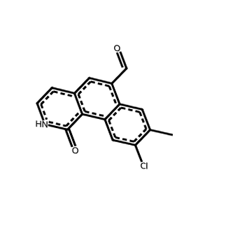 Cc1cc2c(C=O)cc3cc[nH]c(=O)c3c2cc1Cl